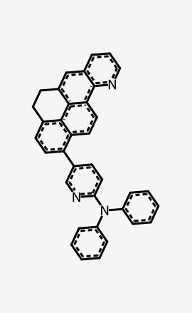 c1ccc(N(c2ccccc2)c2ccc(-c3ccc4c5c3ccc3c6ncccc6cc(c35)CC4)cn2)cc1